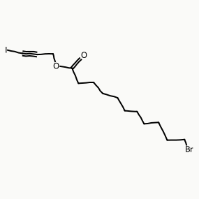 O=C(CCCCCCCCCCBr)OCC#CI